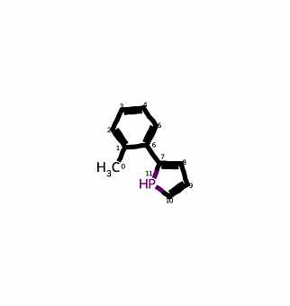 Cc1ccccc1-c1ccc[pH]1